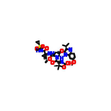 C=C[C@@H]1C[C@]1(NC(=O)[C@@H]1C[C@@H](Oc2nc3cc(OC)ccc3nc2C(C)C)CN1C(=O)[C@@H](NC(=O)O)C(C)(C)C)C(=O)NS(=O)(=O)C1CC1